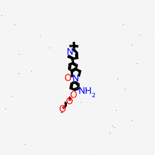 COCCOCOc1ccc(N2CCc3cc(-c4ccc(C(C)(C)C)nc4)ccc3C2=O)cc1N